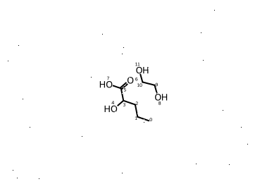 CCCC(O)C(=O)O.OCCO